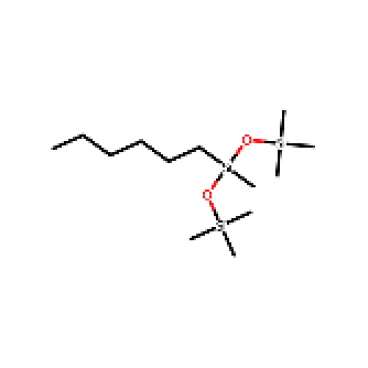 CCCCCC[Si](C)(O[Si](C)(C)C)O[Si](C)(C)C